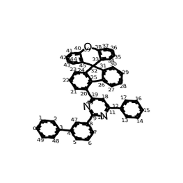 c1ccc(-c2cccc(-c3nc(-c4ccccc4)cc(-c4cccc5c4-c4ccccc4C54c5ccccc5Oc5ccccc54)n3)c2)cc1